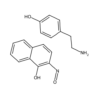 NCCc1ccc(O)cc1.O=Nc1ccc2ccccc2c1O